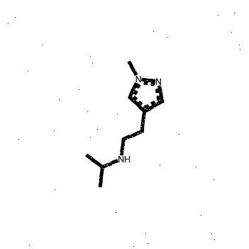 CC(C)NCCc1cnn(C)c1